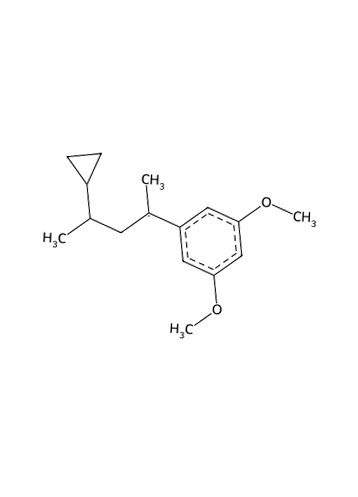 COc1cc(OC)cc([C](C)CC(C)C2CC2)c1